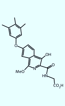 COc1nc(C(=O)NCC(=O)O)c(O)c2ccc(Oc3cc(C)c(C)c(C)c3)cc12